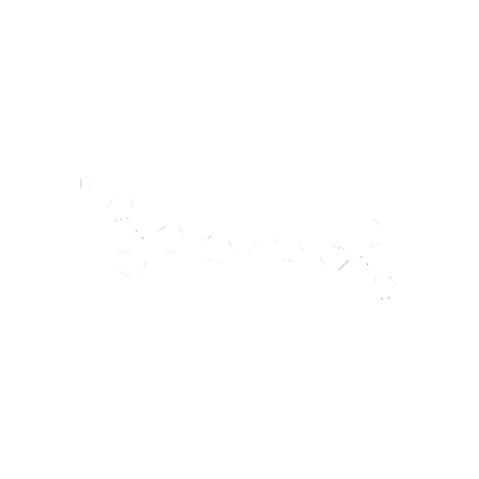 Cc1ccc(-n2c3ccccc3c3cc(-c4ccc(/C=C/c5ccc(-c6ccc7c(c6)c6ccccc6n7-c6ccccc6)cc5)cc4)ccc32)cc1